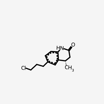 C[C@H]1CC(=O)Nc2ccc(CCCCl)cc21